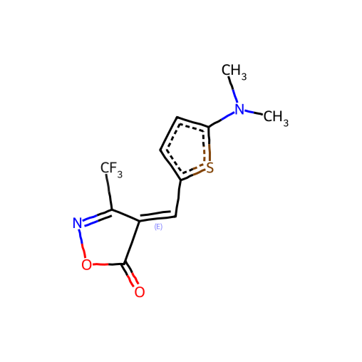 CN(C)c1ccc(/C=C2/C(=O)ON=C2C(F)(F)F)s1